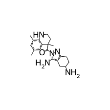 Cc1cc(C)c2c(c1)C(C)(C(=O)n1nc3c(c1N)CC(N)CC3)CCN2